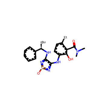 CCc1ccc(Nc2n[s+]([O-])nc2N[C@@H](c2ccccc2)C(C)(C)C)c(O)c1C(=O)N(C)C